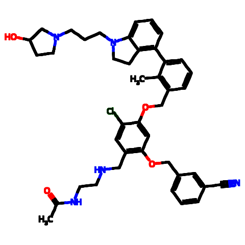 CC(=O)NCCNCc1cc(Cl)c(OCc2cccc(-c3cccc4c3CCN4CCCN3CCC(O)C3)c2C)cc1OCc1cccc(C#N)c1